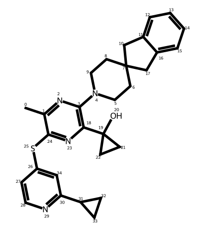 Cc1nc(N2CCC3(CC2)Cc2ccccc2C3)c(C2(O)CC2)nc1Sc1ccnc(C2CC2)c1